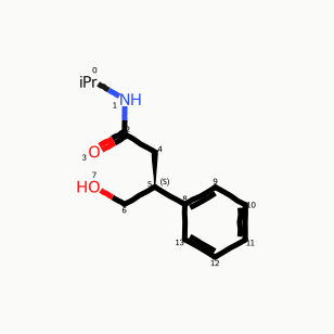 CC(C)NC(=O)C[C@H](CO)c1ccccc1